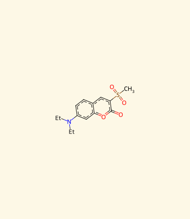 CCN(CC)c1ccc2cc(S(C)(=O)=O)c(=O)oc2c1